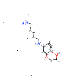 NCCCCCNc1ccc2c(c1)OCCO2